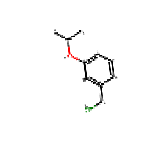 CC(C)Oc1cccc(CCl)c1